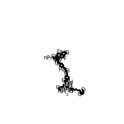 CCCC1O[C@@H]2C[C@H]3[C@@H]4C[C@H](F)C5=CC(=O)C=C[C@]5(C)[C@@]4(F)[C@@H](O)C[C@]3(C)[C@]2(C(=O)COC(=O)c2ccc(CNC(=O)OCc3ccc(NC(=O)[C@H](CCCNC(N)=O)NC(=O)[C@@H](NC(=O)CCCCCN4C(=O)C=CC4=O)C(C)C)cc3)cc2)O1